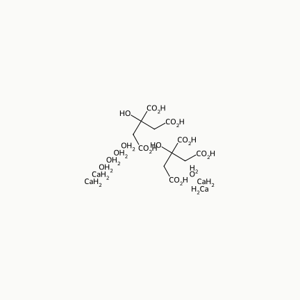 O.O.O.O.O.O=C(O)CC(O)(CC(=O)O)C(=O)O.O=C(O)CC(O)(CC(=O)O)C(=O)O.[CaH2].[CaH2].[CaH2].[CaH2]